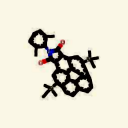 Cc1cccc(C)c1-n1c(=O)c2c3cc([Si](C)(C)C)c4ccc5ccc6c([Si](C)(C)C)cc(c2c1=O)c1c6c5c4c31